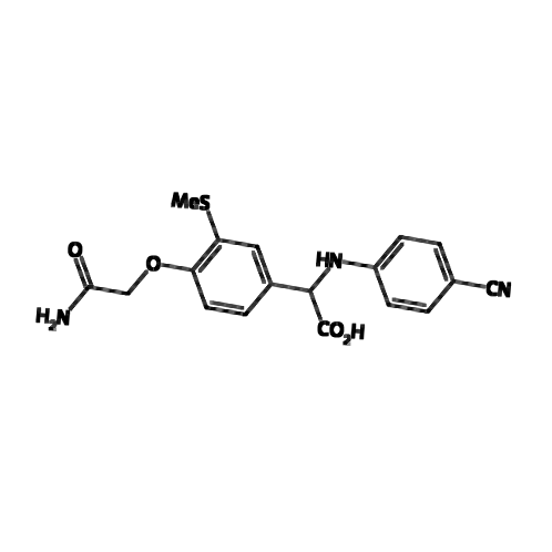 CSc1cc(C(Nc2ccc(C#N)cc2)C(=O)O)ccc1OCC(N)=O